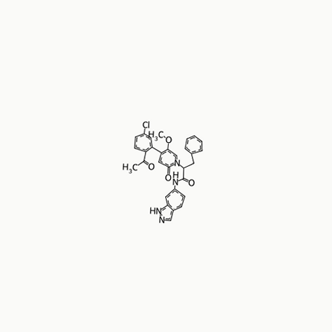 COc1cn(C(Cc2ccccc2)C(=O)Nc2ccc3cn[nH]c3c2)c(=O)cc1-c1cc(Cl)ccc1C(C)=O